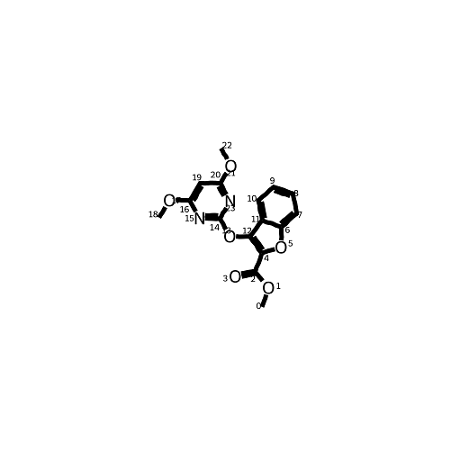 COC(=O)c1oc2ccccc2c1Oc1nc(OC)cc(OC)n1